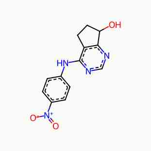 O=[N+]([O-])c1ccc(Nc2ncnc3c2CCC3O)cc1